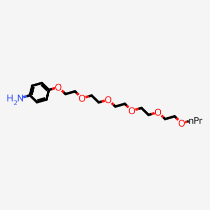 CCCOCCOCCOCCOCCOCCOc1ccc(N)cc1